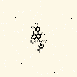 COC[C@H](Oc1cc(F)c(-c2ccc(F)c(Cl)c2F)c2ncnc(N)c12)c1ncn(C(F)F)n1